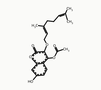 CC(=O)Oc1c(OC/C=C(\C)CCC=C(C)C)c(=O)oc2cc(O)ccc12